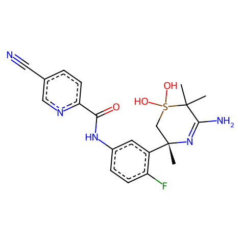 CC1(C)C(N)=N[C@](C)(c2cc(NC(=O)c3ccc(C#N)cn3)ccc2F)CS1(O)O